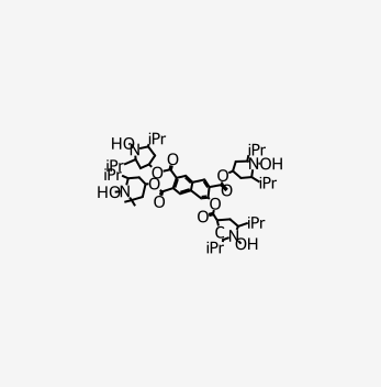 CC(C)C1CC(OC(=O)c2cc3cc(C(=O)OC4CC(C(C)C)N(O)C(C(C)C)C4)c(C(=O)OC4CC(C(C)C)N(O)C(C)(C)C4)cc3cc2OC(=O)C2CC(C(C)C)N(O)C(C(C)C)C2)CC(C(C)C)N1O